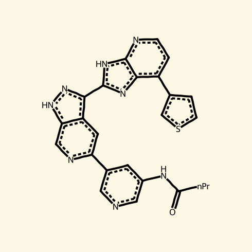 CCCC(=O)Nc1cncc(-c2cc3c(-c4nc5c(-c6ccsc6)ccnc5[nH]4)n[nH]c3cn2)c1